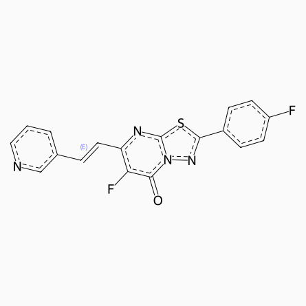 O=c1c(F)c(/C=C/c2cccnc2)nc2sc(-c3ccc(F)cc3)nn12